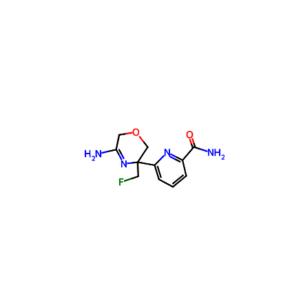 NC(=O)c1cccc(C2(CF)COCC(N)=N2)n1